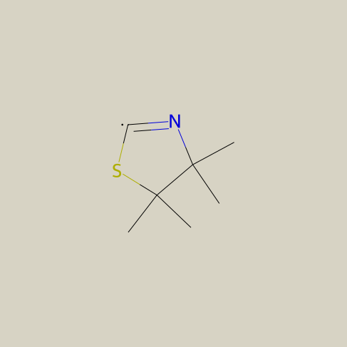 CC1(C)N=[C]SC1(C)C